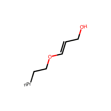 CCCCCOC=CCO